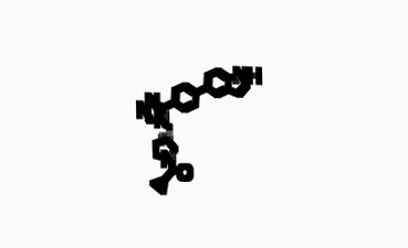 O=C(C1CC1)N1CC[C@H](Cn2cnnc2-c2ccc(-c3ccc4[nH]ccc4c3)cc2)C1